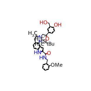 COc1ccccc1CNC(=O)c1cc2cc(C[C@@H](C)NC[C@H](O[Si](C)(C)C(C)(C)C)c3ccc(O)c(CO)c3)ccc2[nH]1